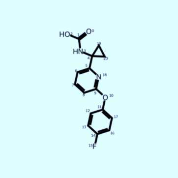 O=C(O)NC1(c2cccc(Oc3ccc(F)cc3)n2)CC1